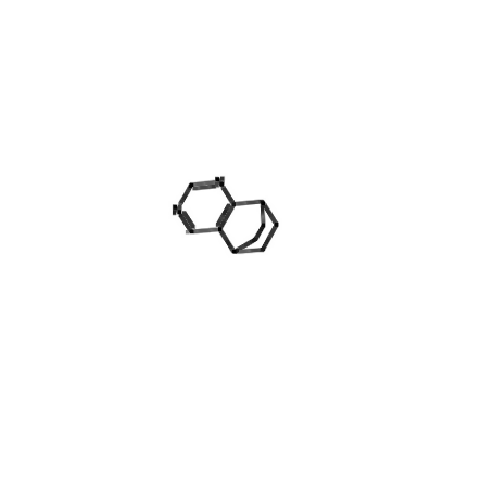 [c]1ncnc2c1C1CCC2CC1